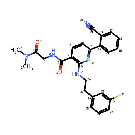 CN(C)C(=O)CNC(=O)c1ccc(-c2ccccc2C#N)nc1NCCc1cccc(F)c1